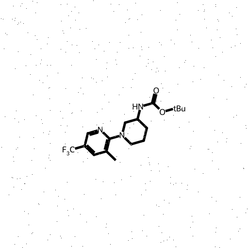 Cc1cc(C(F)(F)F)cnc1N1CCCC(NC(=O)OC(C)(C)C)C1